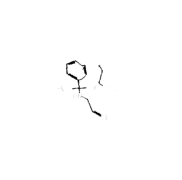 C=CCNC(C)(C)c1ccccc1.O=C(O)CCC(=O)O